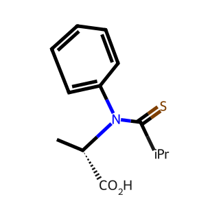 CC(C)C(=S)N(c1ccccc1)[C@@H](C)C(=O)O